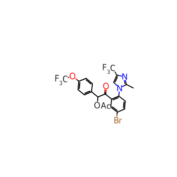 CC(=O)OC(C(=O)c1cc(Br)ccc1-n1cc(C(F)(F)F)nc1C)c1ccc(OC(F)(F)F)cc1